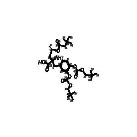 C[C@@H](CC(N)(Cc1ccc(OC(=O)OCC(C)(C)C)c(OC(=O)OCC(C)(C)C)c1)C(=O)O)OC(=O)CC(C)(C)C